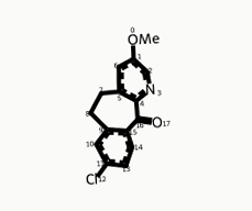 COc1cnc2c(c1)CCc1cc(Cl)ccc1C2=O